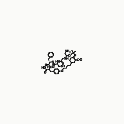 CC(C)(C)ON1CCC(CCCCOc2ccc(C[C@H](NC(=O)[C@H](Cc3ccccc3)NC(=O)[C@H](CS)NC(=O)CNC(=O)CN)C(=O)O)cc2)CC1=C=O